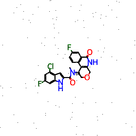 CN(C(=O)c1cc2c(Cl)cc(F)cc2[nH]1)[C@@H]1COCc2[nH]c(=O)c3cc(F)ccc3c21